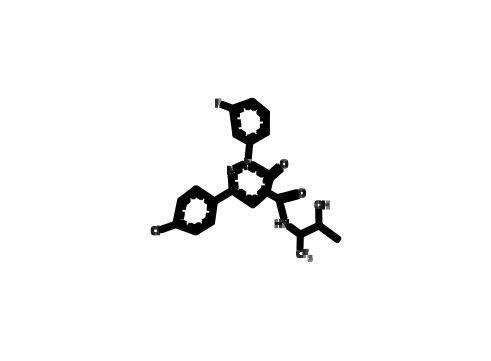 CC(O)C(NC(=O)c1cc(-c2ccc(Cl)cc2)nn(-c2cccc(F)c2)c1=O)C(F)(F)F